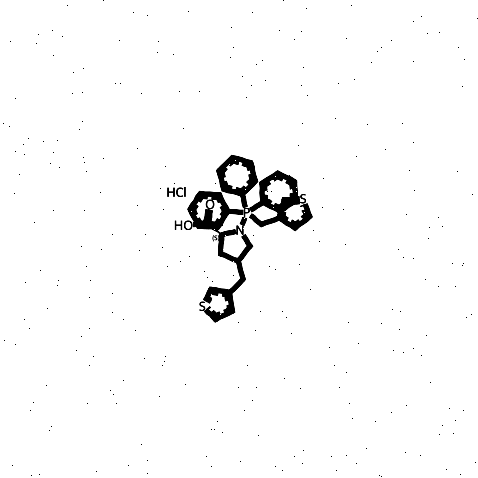 Cl.O=C(O)[C@@H]1CC(Cc2ccsc2)CN1P(Cc1ccsc1)(c1ccccc1)(c1ccccc1)c1ccccc1